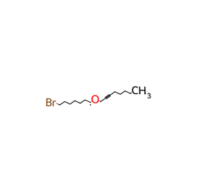 CCCCCC#CCO[CH]CCCCCCBr